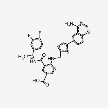 C[C@H](NC(=O)c1cc(C(=O)O)cnc1NCc1ccc(-c2ccc3ncnc(N)c3c2)s1)c1ccc(F)c(F)c1